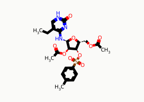 CCc1c[nH]c(=O)nc1N[C@@H]1O[C@H](COC(C)=O)[C@H](OS(=O)(=O)c2ccc(C)cc2)[C@H]1OC(C)=O